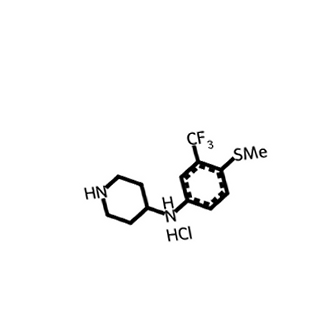 CSc1ccc(NC2CCNCC2)cc1C(F)(F)F.Cl